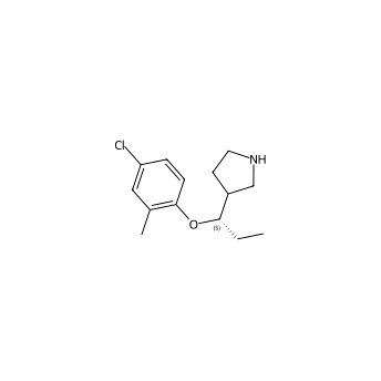 CC[C@H](Oc1ccc(Cl)cc1C)C1CCNC1